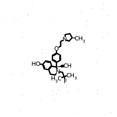 C#C[C@]1(c2ccc(OCCN3CC[C@@H](C)C3)cc2)c2ccc(O)cc2CCN1CC(C)(C)F